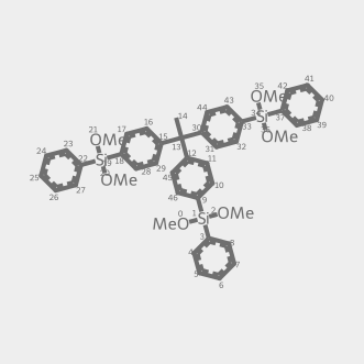 CO[Si](OC)(c1ccccc1)c1ccc(C(C)(c2ccc([Si](OC)(OC)c3ccccc3)cc2)c2ccc([Si](OC)(OC)c3ccccc3)cc2)cc1